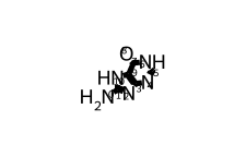 Nc1nc2nc[nH]c(=O)c2[nH]1